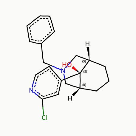 O[C@]1(c2ccnc(Cl)c2)[C@@H]2CCC[C@H]1CN(Cc1ccccc1)C2